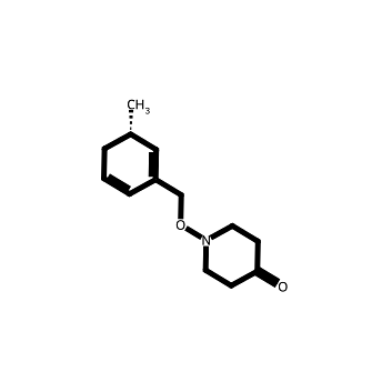 C[C@@H]1C=C(CON2CCC(=O)CC2)C=CC1